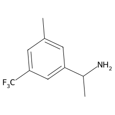 Cc1cc(C(C)N)cc(C(F)(F)F)c1